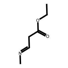 CCOC(=O)CC=NC